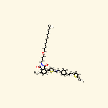 CCCCCCCCCCCCOCCCCN1C(=O)c2c(C)ccc(-c3ccc(/C=C/c4ccc(/C=C/c5ccc(C)s5)cc4)s3)c2C1=O